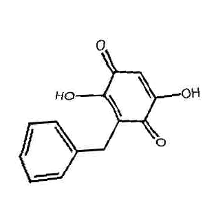 O=C1C=C(O)C(=O)C(Cc2ccccc2)=C1O